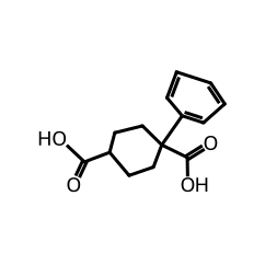 O=C(O)C1CCC(C(=O)O)(c2ccccc2)CC1